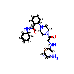 C=C(NCC(=O)N1CCN(c2ccccc2C(=O)Nc2ccccc2)CC1)S/C=C\N